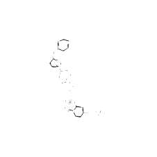 COc1ccc2nnn(CCCN3CCC(n4ccc(Cc5ccccc5)n4)CC3)c2c1